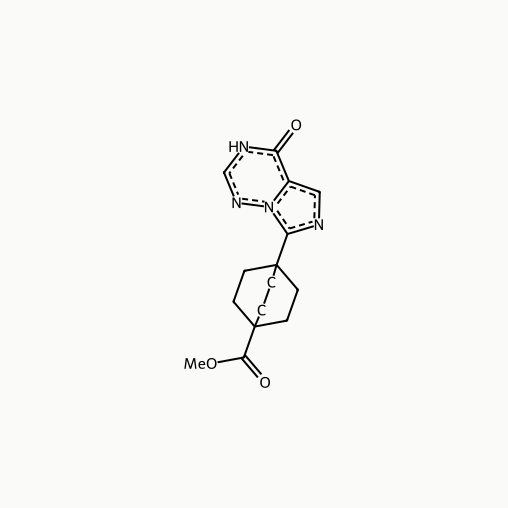 COC(=O)C12CCC(c3ncc4c(=O)[nH]cnn34)(CC1)CC2